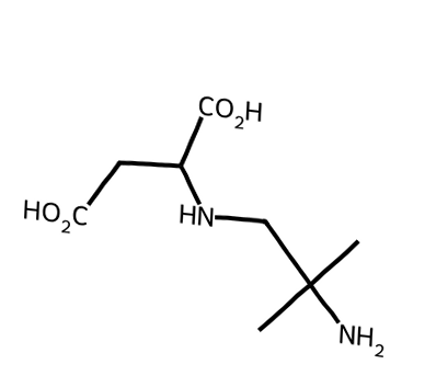 CC(C)(N)CNC(CC(=O)O)C(=O)O